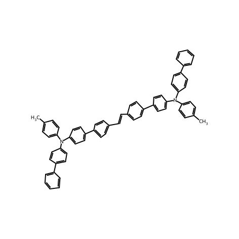 Cc1ccc(N(c2ccc(-c3ccccc3)cc2)c2ccc(-c3ccc(/C=C/c4ccc(-c5ccc(N(c6ccc(C)cc6)c6ccc(-c7ccccc7)cc6)cc5)cc4)cc3)cc2)cc1